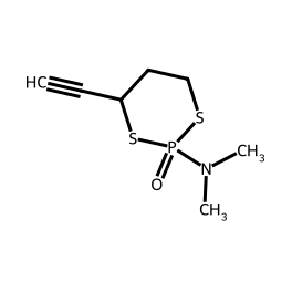 C#CC1CCSP(=O)(N(C)C)S1